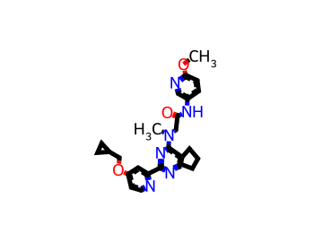 COc1ccc(NC(=O)CN(C)c2nc(-c3cc(OCC4CC4)ccn3)nc3c2CCC3)cn1